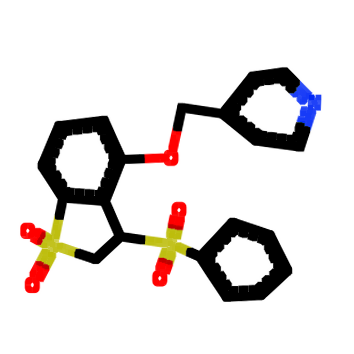 O=S1(=O)CC(S(=O)(=O)c2ccccc2)c2c(OCc3ccncc3)cccc21